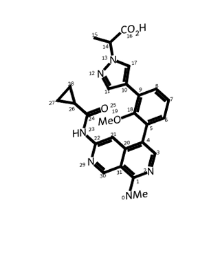 CNc1ncc(-c2cccc(-c3cnn(C(C)C(=O)O)c3)c2OC)c2cc(NC(=O)C3CC3)ncc12